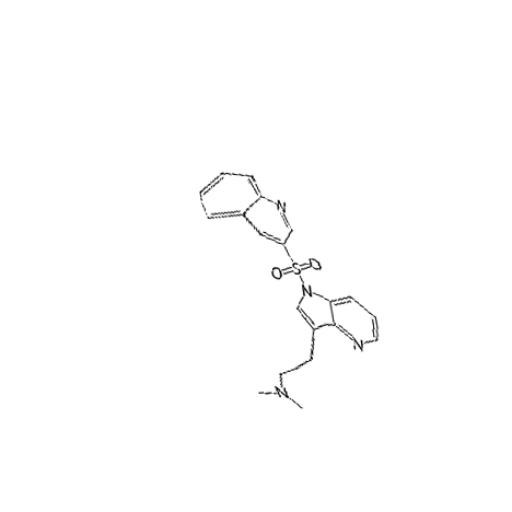 CN(C)CCc1cn(S(=O)(=O)c2cnc3ccccc3c2)c2cccnc12